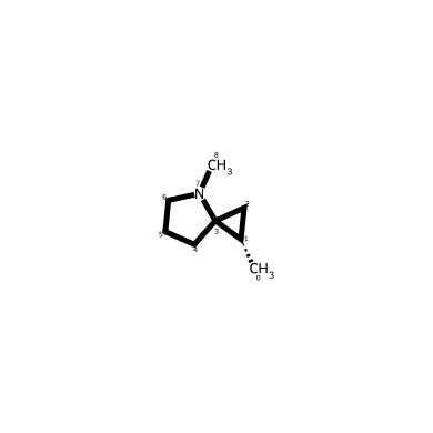 C[C@H]1CC12CCCN2C